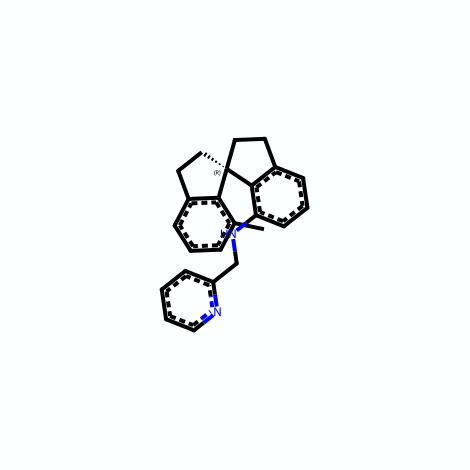 Cc1cccc2c1[C@@]1(CC2)CCc2cccc(NCc3ccccn3)c21